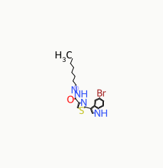 CCCCCCC/C=N/NC(=O)c1csc(-c2c[nH]c3ccc(Br)cc23)n1